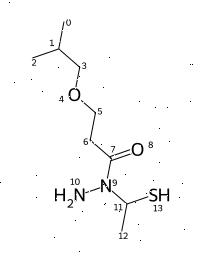 CC(C)COCCC(=O)N(N)C(C)S